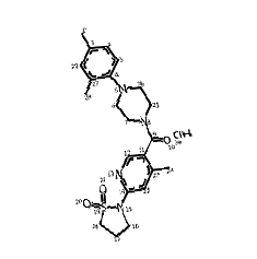 Cc1ccc(N2CCN(C(=O)c3cnc(N4CCCS4(=O)=O)cc3C)CC2)c(C)c1.Cl